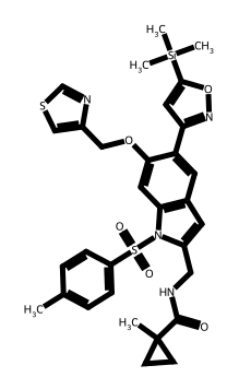 Cc1ccc(S(=O)(=O)n2c(CNC(=O)C3(C)CC3)cc3cc(-c4cc([Si](C)(C)C)on4)c(OCc4cscn4)cc32)cc1